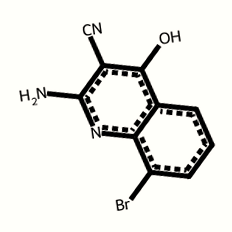 N#Cc1c(N)nc2c(Br)cccc2c1O